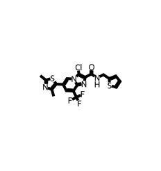 Cc1nc(C)c(-c2cc(C(F)(F)F)c3nc(C(=O)NCc4cccs4)c(Cl)n3c2)s1